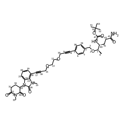 C[C@@H](OCc1ccc(C#CCOCCOCC#Cc2cccc3c2n(C)c(=O)n3C2CCC(=O)N(C)C2=O)cc1)[C@H](CCC(N)=O)NC(=O)OC(C)(C)C